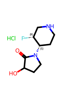 Cl.O=C1C(O)CCN1[C@H]1CCNC[C@H]1F